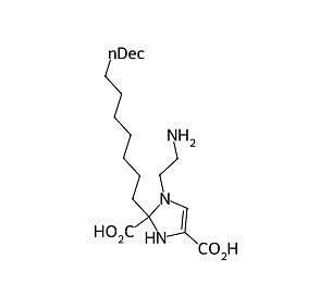 CCCCCCCCCCCCCCCCCC1(C(=O)O)NC(C(=O)O)=CN1CCN